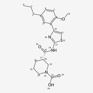 CCCc1ccc(OC)c(-c2csc(NC(=O)[C@H]3CCCN(C(=O)O)C3)n2)c1